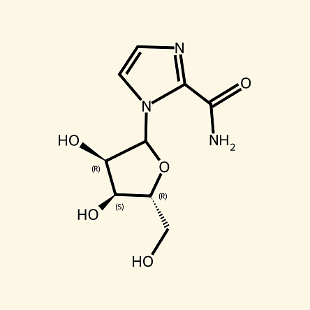 NC(=O)c1nccn1C1O[C@H](CO)[C@@H](O)[C@H]1O